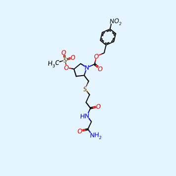 CS(=O)(=O)OC1CC(CSCCC(=O)NCC(N)=O)N(C(=O)OCc2ccc([N+](=O)[O-])cc2)C1